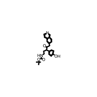 CC(C)(C)OC(=O)NCCC(C(=O)Cc1ccc2cnccc2c1)c1ccc(O)cc1